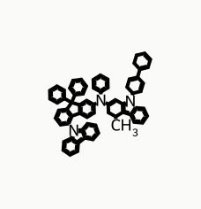 CC1CC(N(c2ccccc2)c2ccc3c(c2)C(c2ccccc2)(c2ccccc2)c2cccc(-n4c5ccccc5c5ccccc54)c2-3)=Cc2c1c1ccccc1n2C1C=CC(C2=CC=CCC2)=CC1